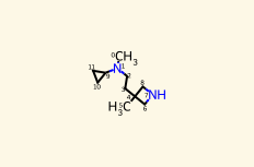 CN(CCC1(C)CNC1)C1CC1